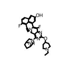 C#Cc1c(F)ccc2cc(O)cc(-c3ncc4c(N5CC6CCC(C5)N6)nc(OC5CCN(CC)CC5)nc4c3F)c12